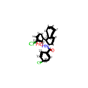 O=C(Nc1ccc2ccccc2c1-c1cccc(Cl)c1O)c1ccc(Cl)cc1